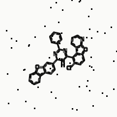 Clc1ccc2oc3ncccc3c2c1C1=NC(c2ccccc2)=NC(c2ccc3c(c2)oc2ccccc23)N1